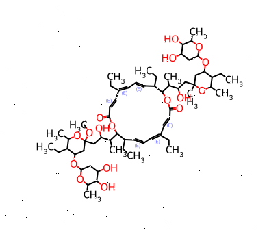 CCC1=C\C=C\C(CC)C(C(C)C(O)CC2(OC)CC(OC3CC(O)C(O)C(C)O3)C(CC)C(C)O2)OC(=O)/C=C/C(CC)=C/C=C/C(CC)C(C(C)C(O)CC2(C)CC(OC3CC(O)C(O)C(C)O3)C(CC)C(C)O2)OC(=O)\C=C\1